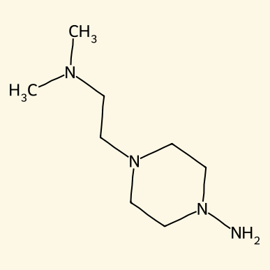 CN(C)CCN1CCN(N)CC1